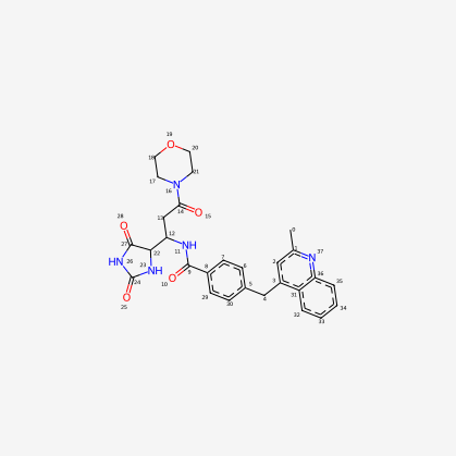 Cc1cc(Cc2ccc(C(=O)NC(CC(=O)N3CCOCC3)C3NC(=O)NC3=O)cc2)c2ccccc2n1